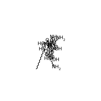 CCCCCCCCCCCCCC(=O)NCC(=O)N[C@@H](CO)C(=O)N[C@@H](CC(N)=O)C(=O)N[C@@H](CCCCN)C(=O)N[C@@H](CO)C(=O)N[C@@H](CCCCN)C(=O)N1CCC[C@H]1C(=O)N[C@@H](CCCCN)C(=O)O